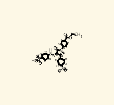 CCOC(=O)c1ccc(N2N=C(c3ccc([N+](=O)[O-])cc3)/C(=N/Nc3ccc(S(=O)(=O)O)cc3)C2=O)cc1